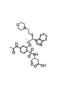 CC(=O)Nc1ccc(S(=O)(=O)NC(C=O)CC(=O)O)c(O[C@H](C)C(SCCN2CCOCC2)n2cnc3ccccc32)c1